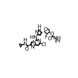 CC(C)NC(=O)O[C@H]1CO[C@@H](c2cc(Nc3nc(Cl)cc4nc(C(=O)NC5CC5)cn34)n[nH]2)[C@H]1F